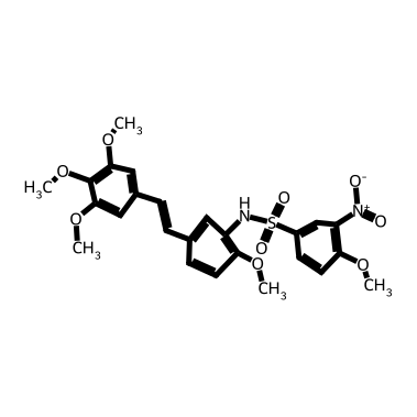 COc1ccc(C=Cc2cc(OC)c(OC)c(OC)c2)cc1NS(=O)(=O)c1ccc(OC)c([N+](=O)[O-])c1